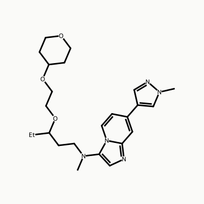 CCC(CCN(C)c1cnc2cc(-c3cnn(C)c3)ccn12)OCCOC1CCOCC1